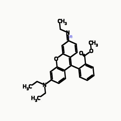 CC/N=c1/ccc2c(-c3ccccc3C(=O)OC)c3ccc(N(CC)CC)cc3oc-2c1